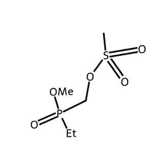 CCP(=O)(COS(C)(=O)=O)OC